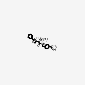 CC(=O)O.CCOC(C(=O)NCc1ccc(C(=N)N)cc1)c1coc(-c2ccccc2)n1